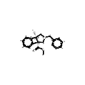 COC(=O)[C@@]12CN(Cc3ccccc3)C[C@@H]1c1ccccc12